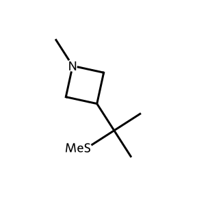 CSC(C)(C)C1CN(C)C1